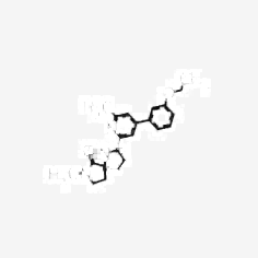 CCOc1cccc(-c2cc(C)nc([C@H]3CC[C@@]4(CCN(C)C4=O)N3)c2)c1